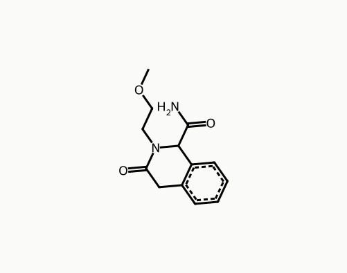 COCCN1C(=O)Cc2ccccc2C1C(N)=O